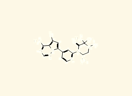 CC(=O)N1C[C@H](C)N(c2cc(-c3cc(Cl)c4c(N)ncnn34)ccn2)C(=O)C1(C)C